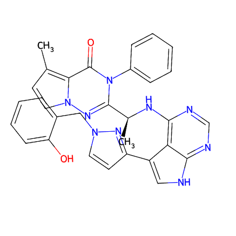 Cc1ccn2nc([C@H](C)Nc3ncnc4[nH]cc(-c5ccn(Cc6ccccc6O)n5)c34)n(-c3ccccc3)c(=O)c12